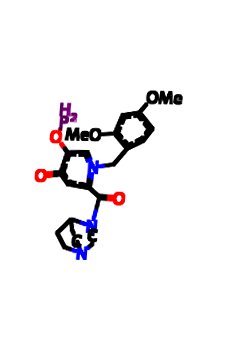 COc1ccc(Cn2cc(OP)c(=O)cc2C(=O)N2CCN3CCC2CC3)c(OC)c1